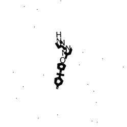 Cc1ccc(C(C)(C)c2ccc(OCc3ccnc(-c4cc[nH]n4)n3)cc2)cc1